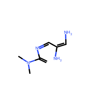 C=C(/N=C\C(N)=C/N)N(C)C